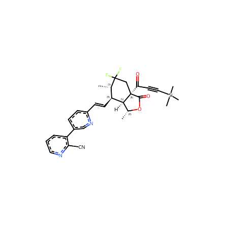 C[C@H]1OC(=O)[C@]2(C(=O)C#C[Si](C)(C)C)CC(F)(F)[C@@H](C)[C@H](/C=C/c3ccc(-c4cccnc4C#N)cn3)[C@H]12